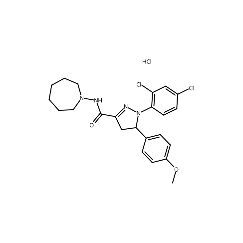 COc1ccc(C2CC(C(=O)NN3CCCCCC3)=NN2c2ccc(Cl)cc2Cl)cc1.Cl